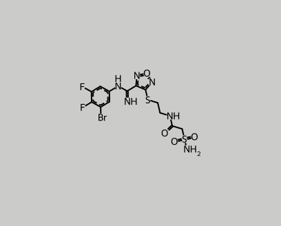 N=C(Nc1cc(F)c(F)c(Br)c1)c1nonc1SCCNC(=O)CS(N)(=O)=O